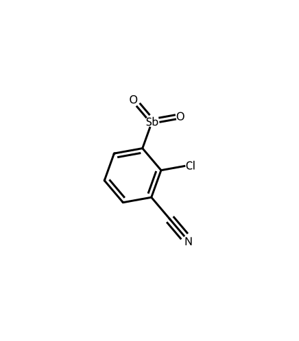 N#Cc1ccc[c]([Sb](=[O])=[O])c1Cl